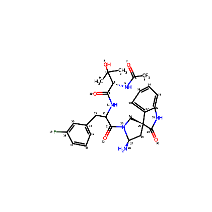 CC(C)(O)[C@H](NC(=O)C(F)(F)F)C(=O)NC(Cc1cccc(F)c1)C(=O)N1C[C@]2(C[C@H]1N)C(=O)Nc1ccccc12